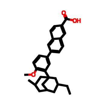 CCC1CC2CC(C)CC(c3cc(-c4ccc5cc(C(=O)O)ccc5c4)ccc3OC)(C1)C2